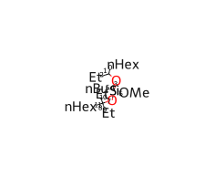 CCCCCCC(CC)O[Si](CCCC)(OC)OC(CC)(CC)CCCCCC